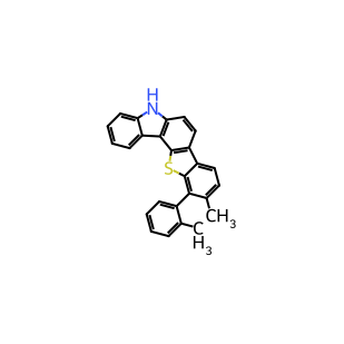 Cc1ccccc1-c1c(C)ccc2c1sc1c2ccc2[nH]c3ccccc3c21